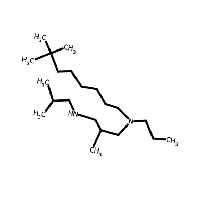 CCCN(CCCCCCC(C)(C)C)CC(C)CNCC(C)C